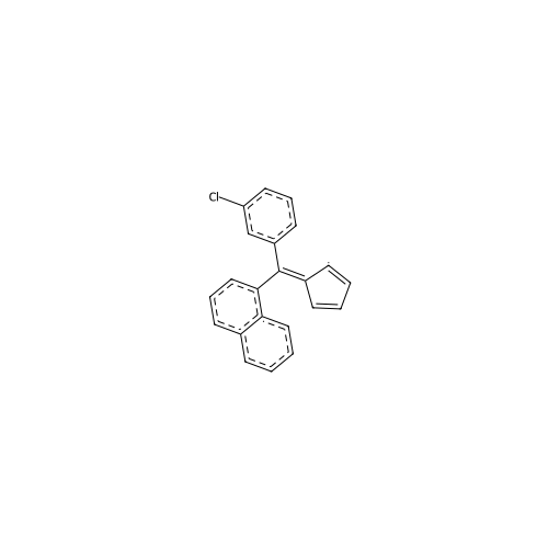 Clc1cccc(C(=C2[C]=CC=C2)c2cccc3ccccc23)c1